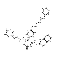 c1ccc(COCCCOc2ccc([C@H]3[C@@H](COCCN4CCOCC4)CNC[C@@H]3OCc3ccc4ccccc4c3)cc2)cc1